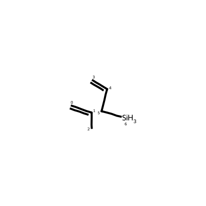 C=CC.C=CC[SiH3]